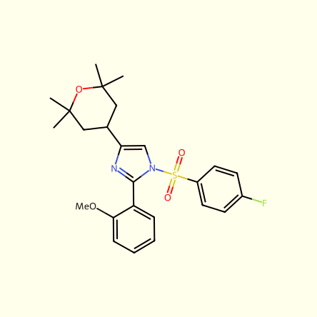 COc1ccccc1-c1nc(C2CC(C)(C)OC(C)(C)C2)cn1S(=O)(=O)c1ccc(F)cc1